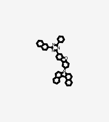 c1ccc(-c2nc(-c3ccc4ccccc4c3)nc(-c3ccc4c(c3)oc3ccc(-n5c6ccc7ccccc7c6c6c7ccccc7ccc65)cc34)n2)cc1